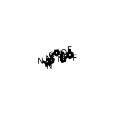 N#Cc1cnc2ccc(OC3CCN(C(=O)N4N=CCC4c4cc(F)cc(F)c4)C3)nn12